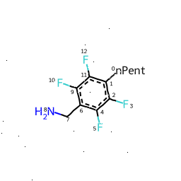 CCCCCc1c(F)c(F)c(CN)c(F)c1F